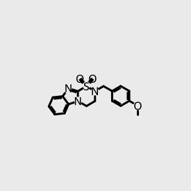 COc1ccc(CN2CCn3c(nc4ccccc43)S2(=O)=O)cc1